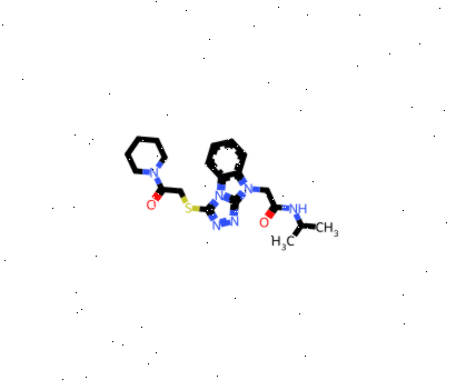 CC(C)NC(=O)Cn1c2ccccc2n2c(SCC(=O)N3CCCCC3)nnc12